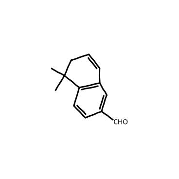 CC1(C)CC=Cc2cc(C=O)ccc21